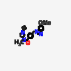 COc1ccc2ncn(Cc3ccc(C(=O)N(C)[C@@H]4CCN(C5CCC5)C4)cc3)c2c1